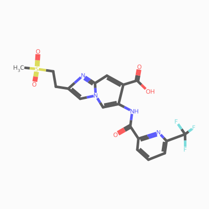 CS(=O)(=O)CCc1cn2cc(NC(=O)c3cccc(C(F)(F)F)n3)c(C(=O)O)cc2n1